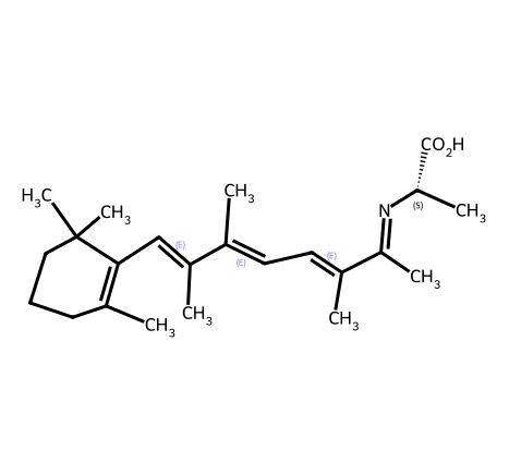 CC(=N[C@@H](C)C(=O)O)/C(C)=C/C=C(C)/C(C)=C/C1=C(C)CCCC1(C)C